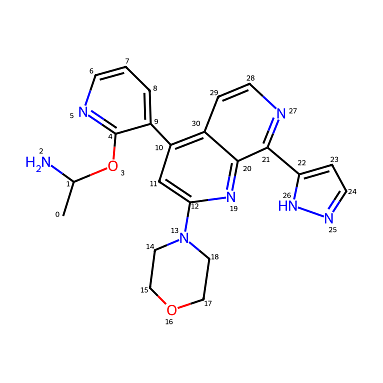 CC(N)Oc1ncccc1-c1cc(N2CCOCC2)nc2c(-c3ccn[nH]3)nccc12